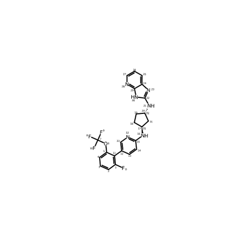 Fc1cccc(OC(F)(F)F)c1-c1ccc(N[C@H]2CC[C@H](Nc3nc4cccnc4[nH]3)C2)nc1